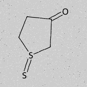 O=C1CCS(=S)C1